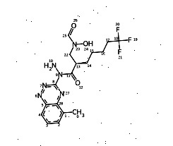 Cc1cccc2nnc(N(N)C(=O)[C@H](CCCCC(F)(F)F)CN(O)C=O)nc12